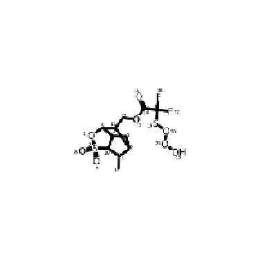 CC1C2CC3C(OS(=O)(=O)C13)C2COC(=O)C(F)(F)SOOO